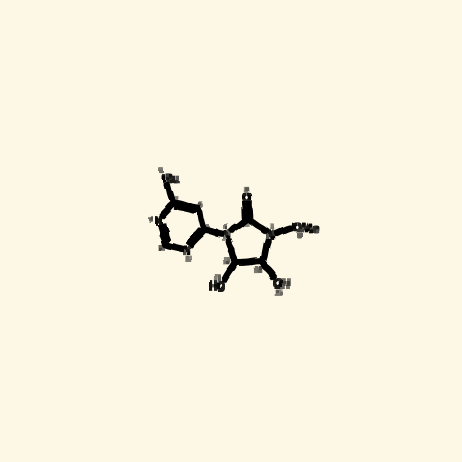 CON1C(=O)N(c2cc(C(C)(C)C)ncn2)C(O)C1O